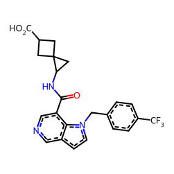 O=C(NC1CC12CC(C(=O)O)C2)c1cncc2ccn(Cc3ccc(C(F)(F)F)cc3)c12